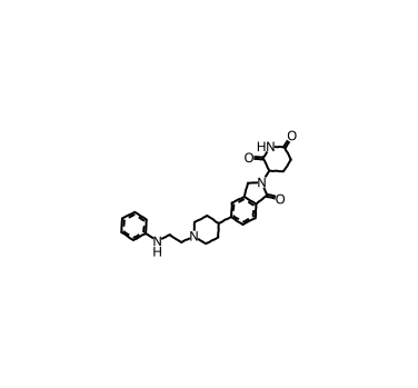 O=C1CCC(N2Cc3cc(C4CCN(CCNc5ccccc5)CC4)ccc3C2=O)C(=O)N1